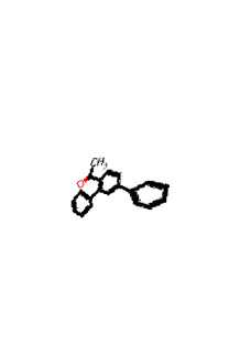 CC(=O)c1ccc(-c2ccccc2)cc1-c1ccccc1